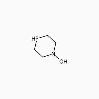 ON1CCPCC1